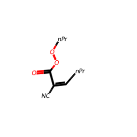 CCCC=C(C#N)C(=O)OOCCC